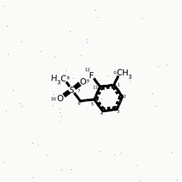 Cc1cccc(CS(C)(=O)=O)c1F